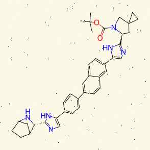 CC(C)(C)OC(=O)N1CC2(CC2)C[C@H]1c1ncc(-c2ccc3cc(-c4ccc(-c5cnc([C@H]6NC7CCC6C7)[nH]5)cc4)ccc3c2)[nH]1